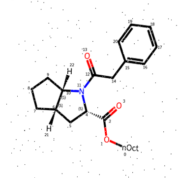 CCCCCCCCOC(=O)[C@@H]1C[C@@H]2CCC[C@@H]2N1C(=O)Cc1ccccc1